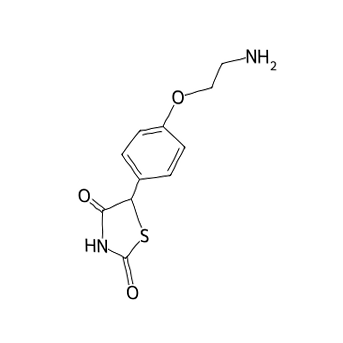 NCCOc1ccc(C2SC(=O)NC2=O)cc1